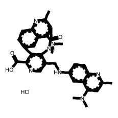 Cc1cc(N(C)C)c2cc(NCc3cnc(C(=O)O)c4c3NC(=O)c3c(C)nc5ccc-4cc5c3N(C)C)ccc2n1.Cl